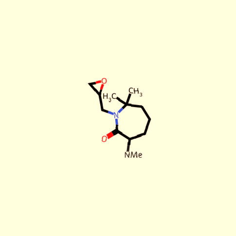 CNC1CCCC(C)(C)N(CC2CO2)C1=O